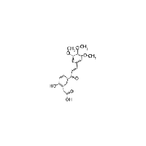 COc1cc(C=CC(=O)c2ccc(O)c(CC(=O)O)c2)cc(OC)c1OC